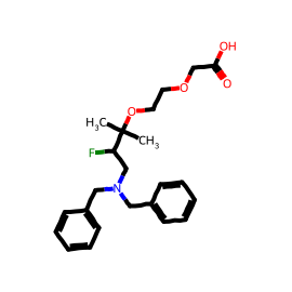 CC(C)(OCCOCC(=O)O)C(F)CN(Cc1ccccc1)Cc1ccccc1